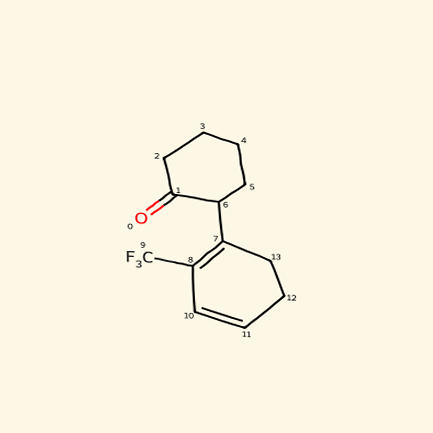 O=C1CCCCC1C1=C(C(F)(F)F)C=CCC1